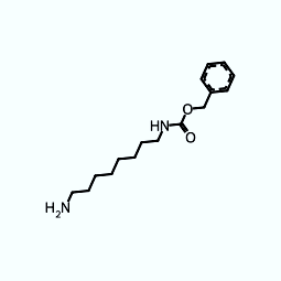 NCCCCCCCCNC(=O)OCc1ccccc1